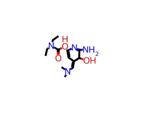 CCN(CC)C(=O)O.CN(C)C=C1C=CN=C(N)C1O